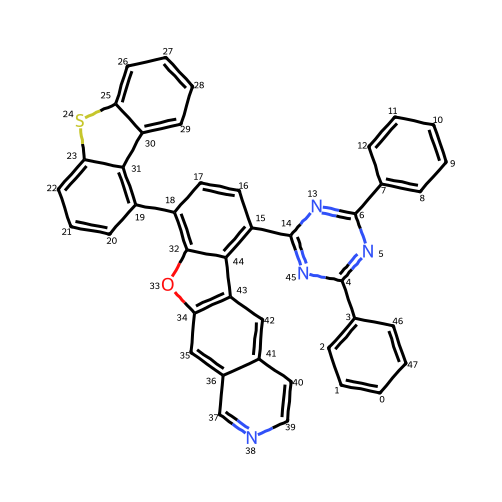 c1ccc(-c2nc(-c3ccccc3)nc(-c3ccc(-c4cccc5sc6ccccc6c45)c4oc5cc6cnccc6cc5c34)n2)cc1